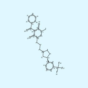 Cc1cn(CCCN2CC[C@@H](c3cccc(C(F)(F)F)c3)C2)c(=O)n(C(=O)c2ccccc2)c1=O